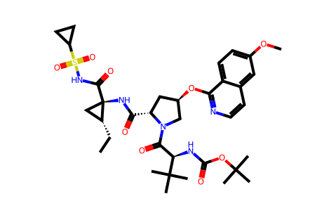 CC[C@@H]1C[C@]1(NC(=O)[C@@H]1C[C@@H](Oc2nccc3cc(OC)ccc23)CN1C(=O)[C@@H](NC(=O)OC(C)(C)C)C(C)(C)C)C(=O)NS(=O)(=O)C1CC1